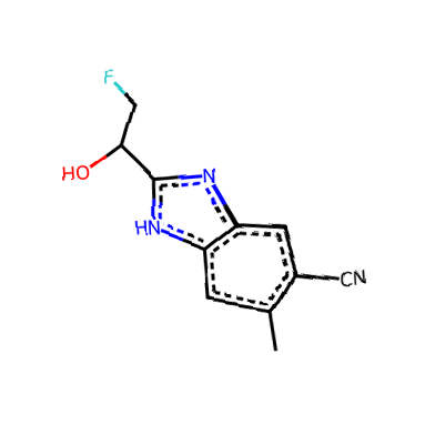 Cc1cc2[nH]c(C(O)CF)nc2cc1C#N